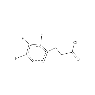 O=C(Cl)CCc1ccc(F)c(F)c1F